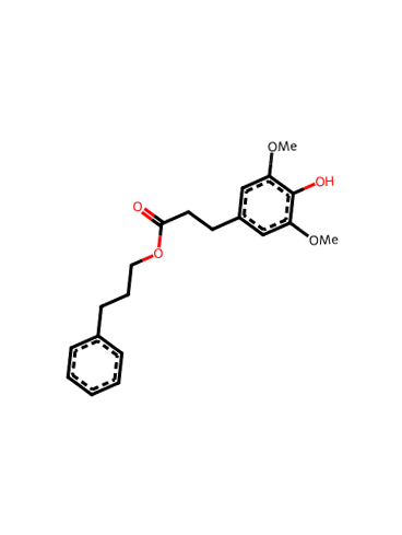 COc1cc(CCC(=O)OCCCc2ccccc2)cc(OC)c1O